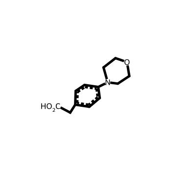 O=C(O)Cc1ccc(N2CCOCC2)cc1